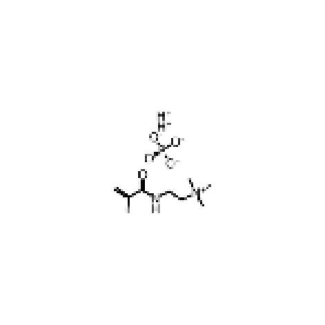 C=C(C)C(=O)NCC[N+](C)(C)C.O=P([O-])([O-])[O-].[H+].[H+]